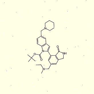 CCN(C)Cc1cc2c(c(-c3cc4cc(CN5CCCCC5)ccc4n3C(=O)OC(C)(C)C)c1)C(=O)NC2